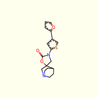 O=C1OC2(CN3CCC2CC3)CN1c1cc(-c2ccco2)cs1